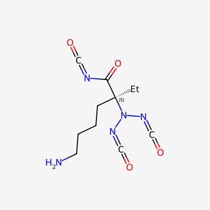 CC[C@](CCCCN)(C(=O)N=C=O)N(N=C=O)N=C=O